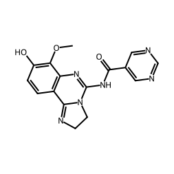 COc1c(O)ccc2c1N=C(NC(=O)c1cncnc1)N1CCN=C21